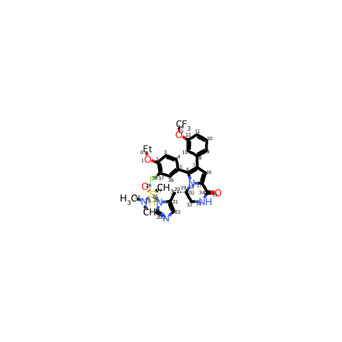 CCOc1ccc(-c2c(-c3cccc(OC(F)(F)F)c3)cc3n2[C@@H](Cc2cncn2[SH](C)(=O)N(C)C)CNC3=O)cc1F